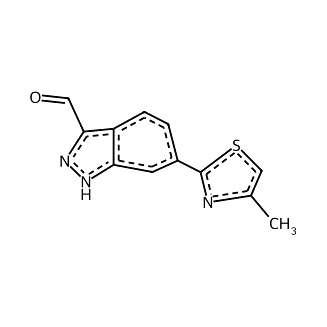 Cc1csc(-c2ccc3c(C=O)n[nH]c3c2)n1